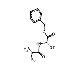 CC[C@H](C)[C@H](N)C(=O)N[C@H](C(=O)OCc1ccccc1)C(C)C